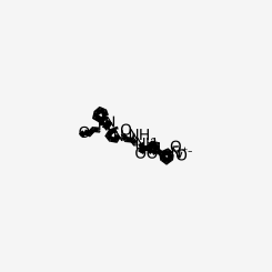 COCCCn1c([C@@H]2CCCN(C(=O)C[C@@H](N)CNC(=O)c3ccc(-c4cccc([N+](=O)[O-])c4)o3)C2)nc2ccccc21